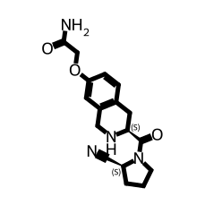 N#C[C@@H]1CCCN1C(=O)[C@@H]1Cc2ccc(OCC(N)=O)cc2CN1